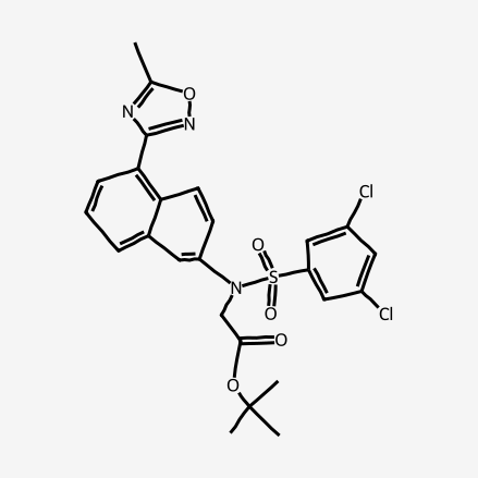 Cc1nc(-c2cccc3cc(N(CC(=O)OC(C)(C)C)S(=O)(=O)c4cc(Cl)cc(Cl)c4)ccc23)no1